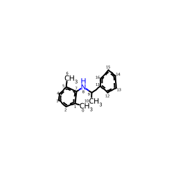 Cc1cccc(C)c1NC(C)c1ccccc1